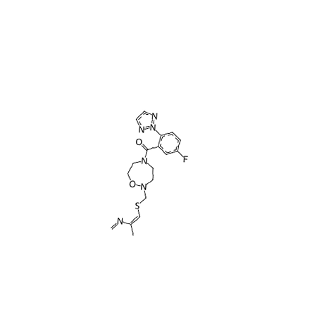 C=N/C(C)=C\SCN1CCN(C(=O)c2cc(F)ccc2-n2nccn2)CCO1